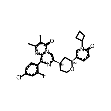 Cc1nc2c(-c3ccc(Cl)cc3F)nc([C@@H]3CCO[C@H](c4ccc(=O)n(C5CCC5)c4)C3)cn2c(=O)c1C